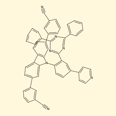 N#Cc1cccc(-c2ccc3c4ccc(-c5cccc(C#N)c5)cc4n(-c4ccc(-c5ccncc5)cc4-c4nc(-c5ccccc5)nc(-c5ccccc5)n4)c3c2)c1